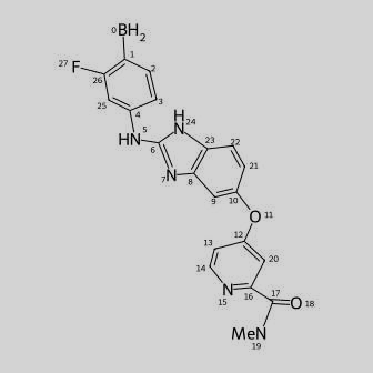 Bc1ccc(Nc2nc3cc(Oc4ccnc(C(=O)NC)c4)ccc3[nH]2)cc1F